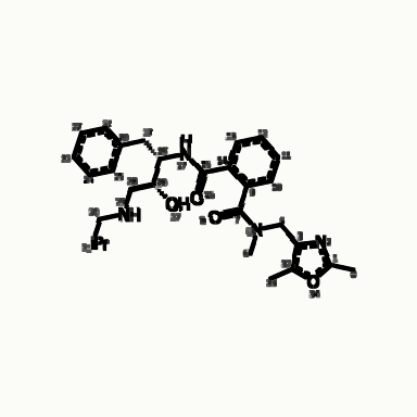 Cc1nc(CN(C)C(=O)c2ccccc2C(=O)N[C@@H](Cc2ccccc2)[C@H](O)CNCC(C)C)c(C)o1